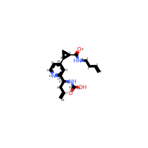 C=CCCNC(=O)[C@@H]1C[C@@H]1c1ccnc(C(CC=C)NC(=O)O)c1